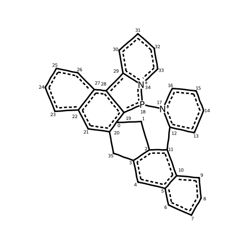 CCc1c2cc3ccccc3c1-c1cccc[n+]1-p1c3c(cc4ccccc4c3c3cccc[n+]31)C2